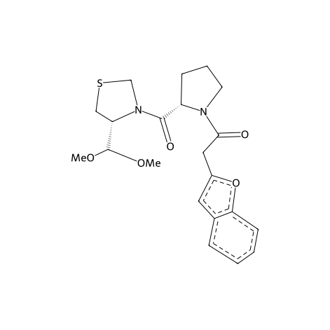 COC(OC)[C@@H]1CSCN1C(=O)[C@@H]1CCCN1C(=O)Cc1cc2ccccc2o1